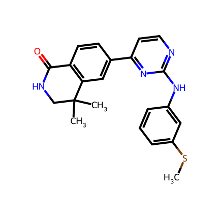 CSc1cccc(Nc2nccc(-c3ccc4c(c3)C(C)(C)CNC4=O)n2)c1